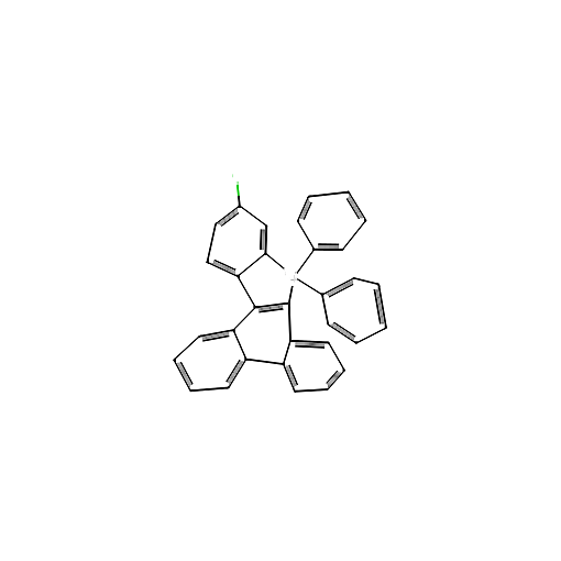 Clc1ccc2c(c1)[Si](c1ccccc1)(c1ccccc1)c1c-2c2ccccc2c2ccccc12